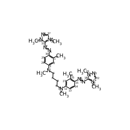 Cc1cc(N(C)CCCCN(C)c2ccc(N=Nc3n(C)nc[n+]3C)c(C)c2)ccc1N=Nc1n(C)nc[n+]1C